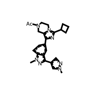 CC(=O)N1CCn2c(C3CCC3)nc(-c3ccc4c(c3)c(-c3cnn(C)c3)nn4C)c2C1